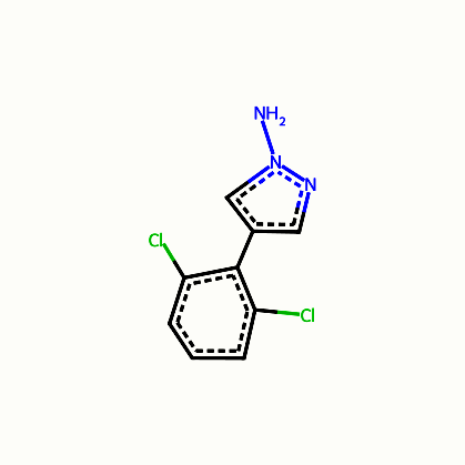 Nn1cc(-c2c(Cl)cccc2Cl)cn1